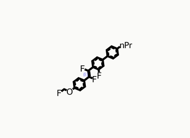 CCCc1ccc(-c2ccc(/C(F)=C(\F)c3ccc(OCF)cc3)c(F)c2)cc1